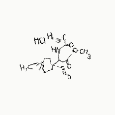 COC(=O)C(NC(C)=O)C1(SN=O)CCN(C)CC1.Cl